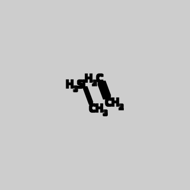 C=C.C[SiH3]